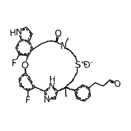 CN1CC[S+]([O-])CCC(C)(c2cccc(CCC=O)c2)c2cnc([nH]2)-c2cc(ccc2F)Oc2c(F)cc3[nH]ccc3c2CCC1=O